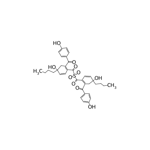 CCCCC1(O)C=CC(C(=O)S(=O)(=O)C(=O)C2=C(C(=O)c3ccc(O)cc3)CC(O)(CCCC)C=C2)=C(C(=O)c2ccc(O)cc2)C1